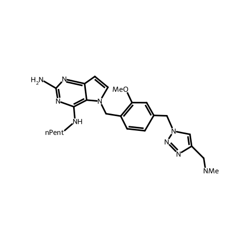 CCCCCNc1nc(N)nc2ccn(Cc3ccc(Cn4cc(CNC)nn4)cc3OC)c12